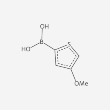 COc1csc(B(O)O)c1